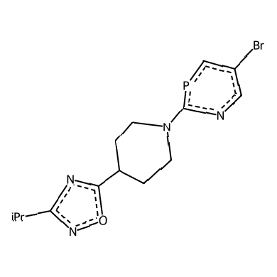 CC(C)c1noc(C2CCN(c3ncc(Br)cp3)CC2)n1